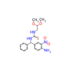 COC(CNC(=S)NC(c1ccccc1)c1ccc(N)c([N+](=O)[O-])c1)OC